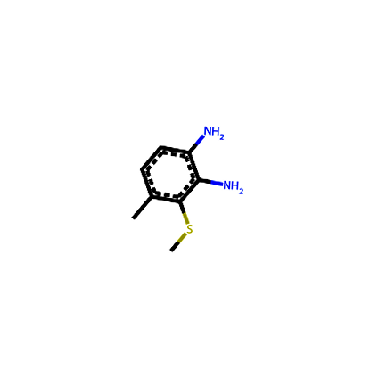 CSc1c(C)ccc(N)c1N